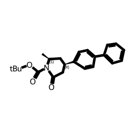 C[C@H]1C[C@@H](c2ccc(-c3ccccc3)cc2)CC(=O)N1C(=O)OC(C)(C)C